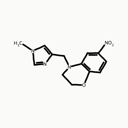 Cn1cnc(CN2CCOc3ccc([N+](=O)[O-])cc32)c1